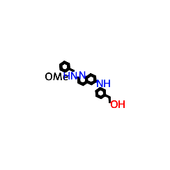 COc1ccccc1CNc1ccc2cc(Nc3cccc(CCO)c3)ccc2n1